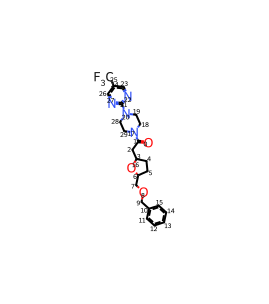 O=C(CC1CCC(COCc2ccccc2)O1)N1CCN(c2ncc(C(F)(F)F)cn2)CC1